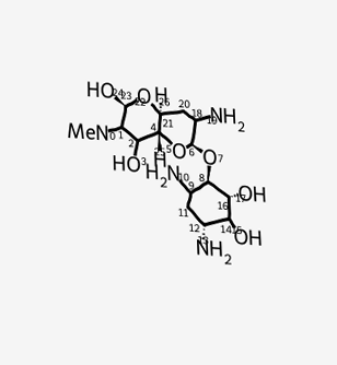 CNC1C(O)[C@H]2O[C@H](O[C@@H]3C(N)C[C@@H](N)C(O)[C@H]3O)C(N)C[C@@H]2O[C@@H]1O